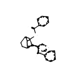 O=C(OC1C2CCC(C(c3cnc[nH]3)C2)C1OC(=O)c1ccccc1)c1ccccc1